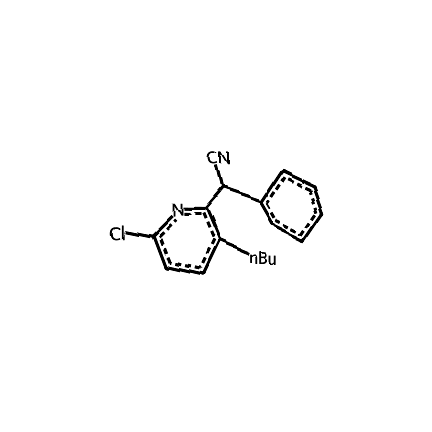 CCCCc1ccc(Cl)nc1C(C#N)c1ccccc1